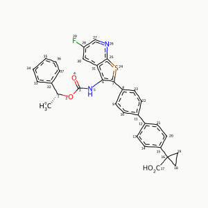 C[C@@H](OC(=O)Nc1c(-c2ccc(-c3ccc(C4(C(=O)O)CC4)cc3)cc2)sc2ncc(F)cc12)c1ccccc1